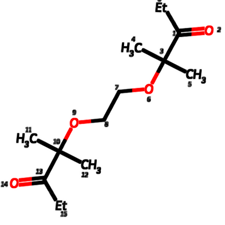 CCC(=O)C(C)(C)OCCOC(C)(C)C(=O)CC